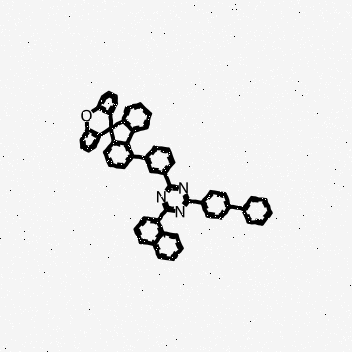 c1ccc(-c2ccc(-c3nc(-c4cccc(-c5cccc6c5-c5ccccc5C65c6ccccc6Oc6ccccc65)c4)nc(-c4cccc5ccccc45)n3)cc2)cc1